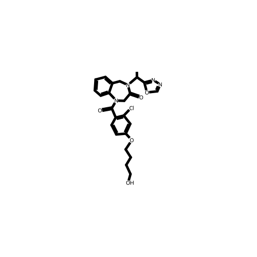 CC(c1nnco1)N1Cc2ccccc2N(C(=O)c2ccc(OCCCCO)cc2Cl)CC1=O